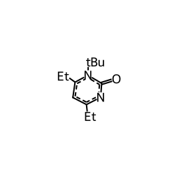 CCc1cc(CC)n(C(C)(C)C)c(=O)n1